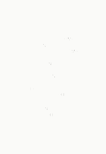 COc1cc2nccc(N3CCN(Cc4cc(C)cc(C=NO)c4O)CC3)c2cc1OC